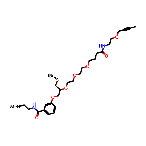 CC#CCOCCNC(=O)CCCOCCOCCOC(COc1cccc(C(=O)NCCNC)c1)SSC(C)(C)C